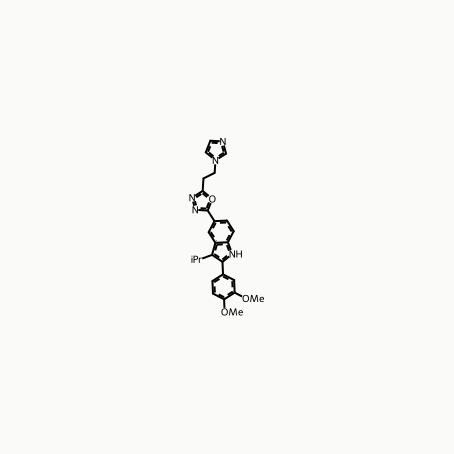 COc1ccc(-c2[nH]c3ccc(-c4nnc(CCn5ccnc5)o4)cc3c2C(C)C)cc1OC